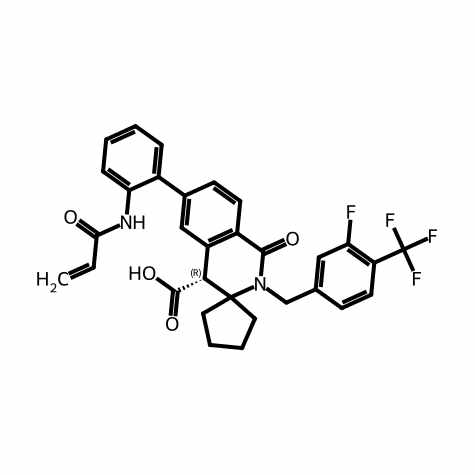 C=CC(=O)Nc1ccccc1-c1ccc2c(c1)[C@@H](C(=O)O)C1(CCCC1)N(Cc1ccc(C(F)(F)F)c(F)c1)C2=O